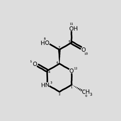 C[C@@H]1CNC(=O)[C@@H](C(O)C(=O)O)O1